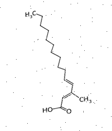 CCCCCCCCCCC=CC(C)=CC(=O)O